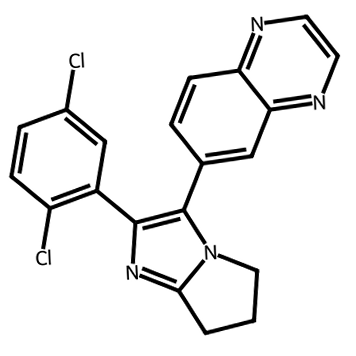 Clc1ccc(Cl)c(-c2nc3n(c2-c2ccc4nccnc4c2)CCC3)c1